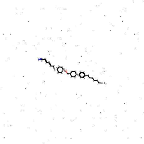 CCCCCCCc1ccc([C@H]2CC[C@H](CO[C@H]3CC[C@H](CCC=CC=CC#N)CC3)CC2)cc1